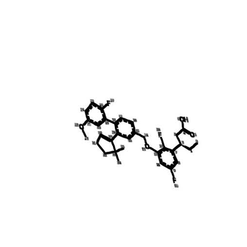 CC[C@H](CC(=O)O)c1cc(F)cc(OCc2ccc(-c3cc(OC)ccc3F)c(C3=CCCC3(C)C)c2)c1F